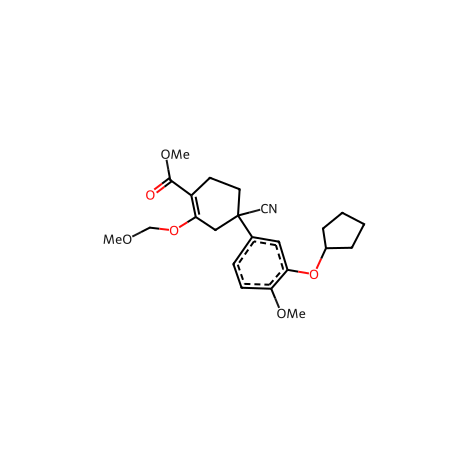 COCOC1=C(C(=O)OC)CCC(C#N)(c2ccc(OC)c(OC3CCCC3)c2)C1